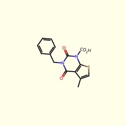 Cc1csc2c1c(=O)n(Cc1ccccc1)c(=O)n2C(=O)O